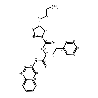 NCCO[C@H]1CN[C@H](C(=O)N[C@H](CCc2ccccc2)C(=O)Nc2cnc3ccccc3c2)C1